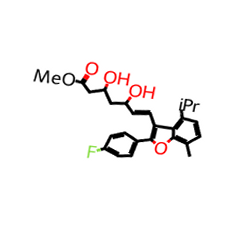 COC(=O)CC(O)CC(O)C=Cc1c(-c2ccc(F)cc2)oc2c(C)ccc(C(C)C)c12